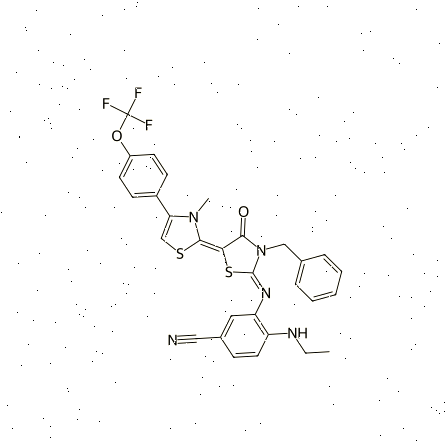 CCNc1ccc(C#N)cc1N=C1SC(=C2SC=C(c3ccc(OC(F)(F)F)cc3)N2C)C(=O)N1Cc1ccccc1